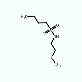 CCCCS(=O)(=O)NCCSC